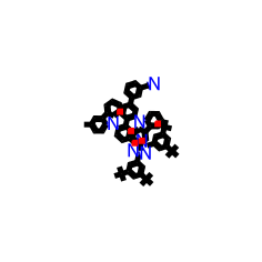 Cc1ccc2c(c1)c1ccccc1n2-c1ccc(-c2nc(-c3cc(C(C)(C)C)cc(C(C)(C)C)c3)nc(-c3cc(C(C)(C)C)cc(C(C)(C)C)c3)n2)cc1-c1ccc(-c2cccc(C#N)c2)cc1-n1c2ccccc2c2cc(C)ccc21